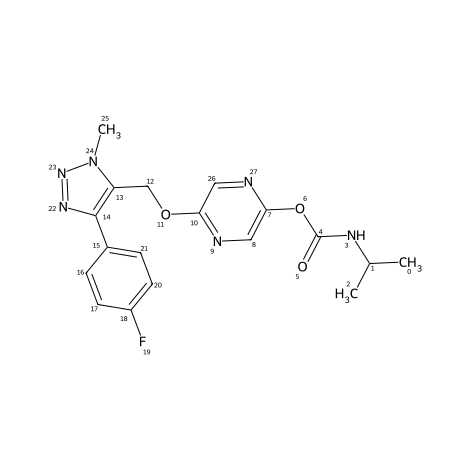 CC(C)NC(=O)Oc1cnc(OCc2c(-c3ccc(F)cc3)nnn2C)cn1